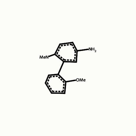 CNc1ccc(N)cc1-c1ccccc1OC